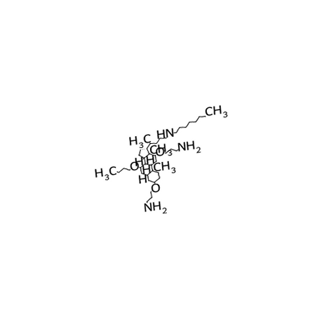 CCCCCCCCNCCC[C@@H](C)[C@H]1CC[C@H]2[C@@H]3[C@H](OCCCC)C[C@@H]4C[C@H](OCCCN)CC[C@]4(C)[C@H]3C[C@H](OCCCN)[C@]12C